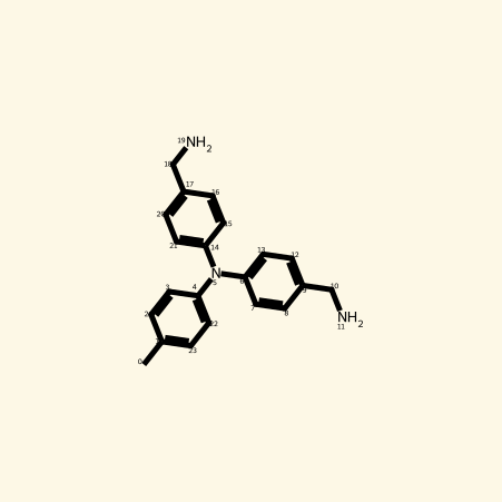 Cc1ccc(N(c2ccc(CN)cc2)c2ccc(CN)cc2)cc1